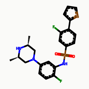 C[C@@H]1CN(c2ccc(F)c(NS(=O)(=O)c3ccc(-c4cccs4)c(F)c3)c2)C[C@H](C)N1